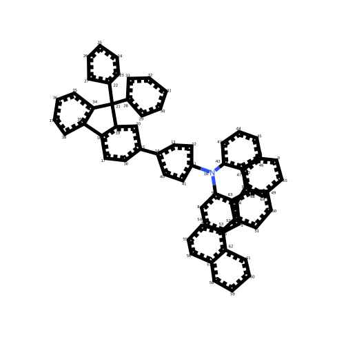 c1ccc(-c2ccccc2N(c2ccc(-c3ccc4c(c3)C(c3ccccc3)(c3ccccc3)c3ccccc3-4)cc2)c2ccccc2-c2cccc(-c3cccc4ccccc34)c2)cc1